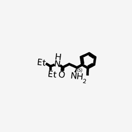 CCC(CC)NC(=O)C[C@H](N)c1ccccc1C